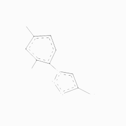 CC(C)c1cn(-c2ccc(F)cc2F)nn1